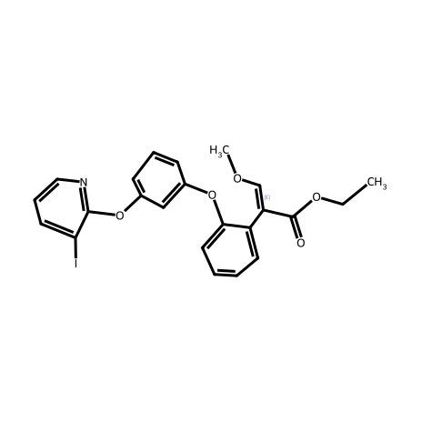 CCOC(=O)/C(=C/OC)c1ccccc1Oc1cccc(Oc2ncccc2I)c1